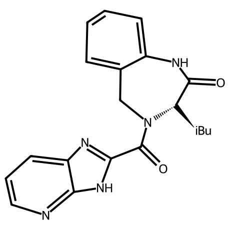 CC[C@H](C)[C@H]1C(=O)Nc2ccccc2CN1C(=O)c1nc2cccnc2[nH]1